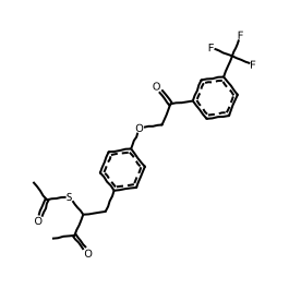 CC(=O)SC(Cc1ccc(OCC(=O)c2cccc(C(F)(F)F)c2)cc1)C(C)=O